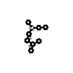 c1ccc(-c2ccc(-c3nc(-c4ccccc4)nc(-c4ccc5c(c4)sc4c(-c6cc(-c7ccccc7)cc7c6sc6ccccc67)cccc45)n3)cc2)cc1